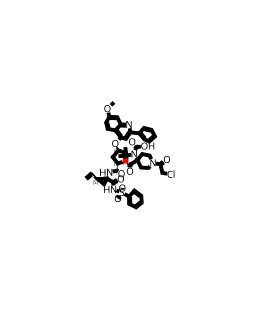 C=C[C@@H]1C[C@]1(NC(=O)[C@@H]1C[C@@H](Oc2cc(-c3ccccc3)nc3cc(OC)ccc23)CN1C(=O)C1(N(C(=O)O)C(C)(C)C)CCN(C(=O)CCl)CC1)C(=O)NS(=O)(=O)c1ccccc1